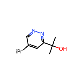 CC(C)c1cnnc(C(C)(C)O)c1